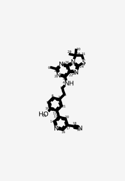 Cc1nc(NCCc2ccc(O)c(-c3cncc(C#N)c3)c2)c2nc3n(c2n1)C(C)(C)CS3